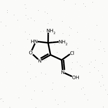 NC1(N)NON=C1C(Cl)=NO